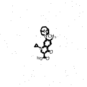 CN1CC2CCC1CN(c1cc3c(cc1F)c(=O)c(C(=O)O)cn3C1CC1)C2